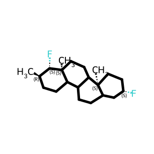 C[C@@H]1CCC2C3CCC4C[C@@H](F)CC[C@]4(C)C3CC[C@]2(C)[C@H]1F